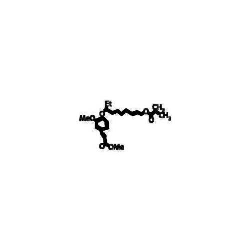 C=C(C)C(=O)OCC=CCCCCC(CC)Oc1ccc(/C=C/C(=O)OC)cc1OC